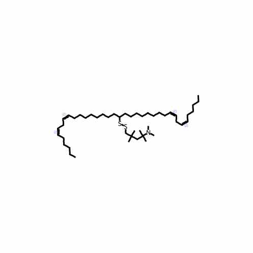 CCCCC/C=C\C/C=C\CCCCCCCCC(CCCCCCCC/C=C\C/C=C\CCCCC)SSCC(C)(C)CC(C)(C)N(C)C